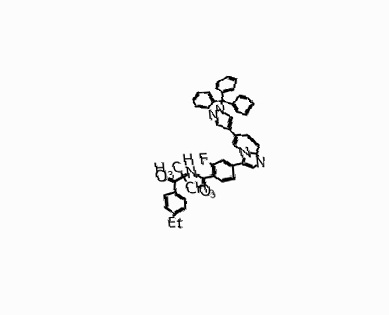 CCc1ccc(C(=O)C(C)(C)NC(=O)c2ccc(-c3cnc4ccc(-c5cnn(C(c6ccccc6)(c6ccccc6)c6ccccc6)c5)cn34)cc2F)cc1